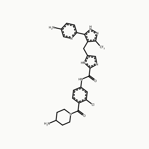 Nc1ccc(-c2[nH]nc(C(F)(F)F)c2Cc2cnc(C(=O)Nc3ccc(C(=O)N4CCC(N)CC4)c(Cl)c3)[nH]2)nc1